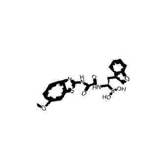 COc1ccc2nc(NC(=O)C(=O)N[C@@H](Cc3coc4ccccc34)B(O)O)sc2c1